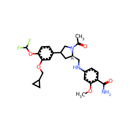 COc1cc(NC[C@H]2CC(c3ccc(OC(F)F)c(OCC4CC4)c3)CN2C(C)=O)ccc1C(N)=O